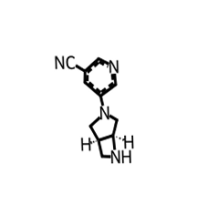 N#Cc1cncc(N2C[C@@H]3CN[C@@H]3C2)c1